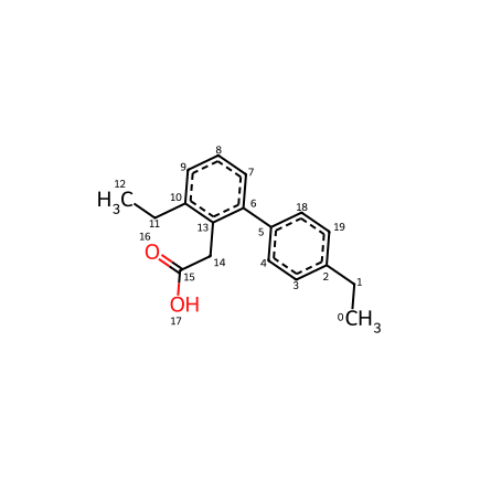 CCc1ccc(-c2cccc(CC)c2CC(=O)O)cc1